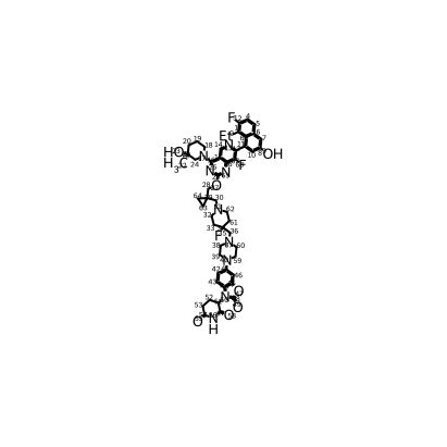 CCc1c(F)ccc2cc(O)cc(-c3ncc4c(N5CCC[C@@](C)(O)C5)nc(OCC5(CN6CCC(F)(CN7CCN(c8ccc9c(c8)oc(=O)n9C8CCC(=O)NC8=O)CC7)CC6)CC5)nc4c3F)c12